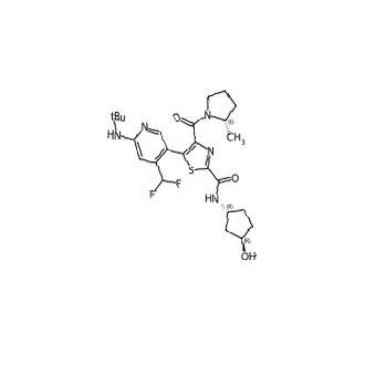 C[C@H]1CCCN1C(=O)c1nc(C(=O)N[C@@H]2CC[C@@H](O)C2)sc1-c1cnc(NC(C)(C)C)cc1C(F)F